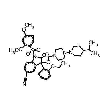 CCOc1ccccc1C1(OC(=O)N2CCN(N3CCC(C(C)C)CC3)CC2)C(=O)N(S(=O)(=O)c2ccc(OC)cc2OC)c2ccc(C#N)cc21